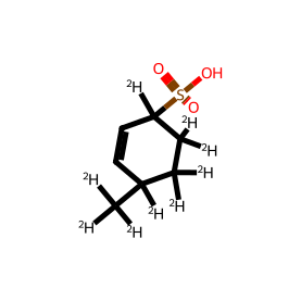 [2H]C([2H])([2H])C1([2H])C=CC([2H])(S(=O)(=O)O)C([2H])([2H])C1([2H])[2H]